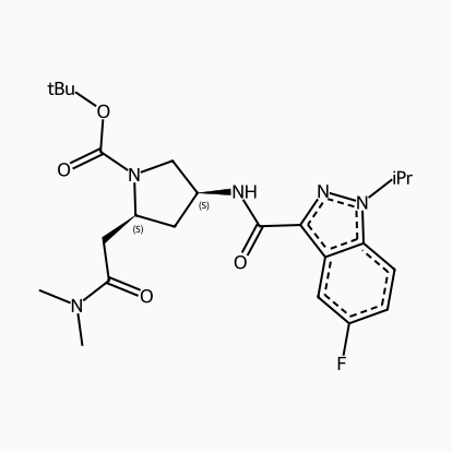 CC(C)n1nc(C(=O)N[C@H]2C[C@@H](CC(=O)N(C)C)N(C(=O)OC(C)(C)C)C2)c2cc(F)ccc21